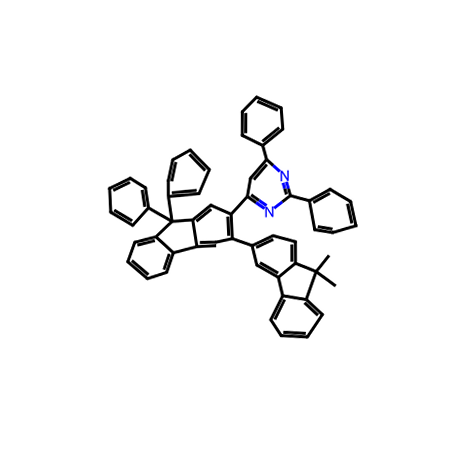 CC1(C)c2ccccc2-c2cc(-c3cc4c(cc3-c3cc(-c5ccccc5)nc(-c5ccccc5)n3)C(c3ccccc3)(c3ccccc3)c3ccccc3-4)ccc21